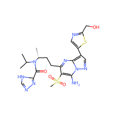 CC(C)N(C(=O)c1nnc[nH]1)[C@H](C)CCc1nc2c(-c3cnc(CO)s3)cnn2c(N)c1S(C)(=O)=O